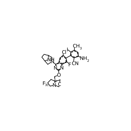 Cc1cc(N)c(C#N)c(-c2c(Cl)cc3c(N4CC5CCC(C4)N5)nc(OC[C@@]45CCCN4C[C@H](F)C5)nc3c2F)c1I